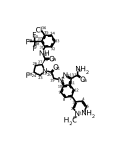 C=N/C=C(\C=C/N)c1ccc2c(c1)c(C(N)=O)nn2CC(=O)N1C[C@H](F)C[C@H]1C(=O)Nc1cccc(Cl)c1C(F)(F)F